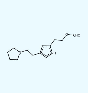 O=COCCc1cc(CCN2CCCC2)c[nH]1